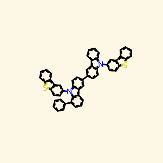 c1ccc(-c2cccc3c4cc(-c5ccc6c(c5)c5ccccc5n6-c5ccc6sc7ccccc7c6c5)ccc4n(-c4ccc5sc6ccccc6c5c4)c23)cc1